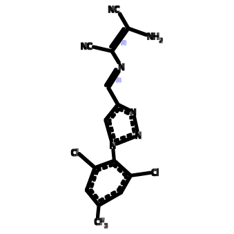 N#C/C(N)=C(C#N)/N=C/c1cn(-c2c(Cl)cc(C(F)(F)F)cc2Cl)nn1